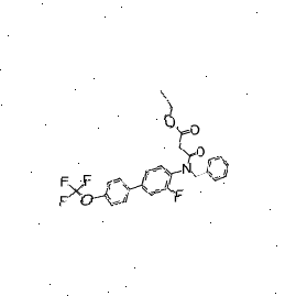 CCOC(=O)CC(=O)N(Cc1ccccc1)c1ccc(-c2ccc(OC(F)(F)F)cc2)cc1F